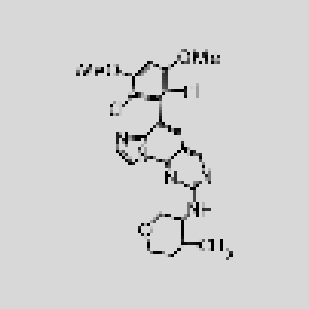 COc1cc(OC)c(Cl)c(-c2cc3cnc(NC4COCC[C@@H]4C)nc3n3ccnc23)c1Cl